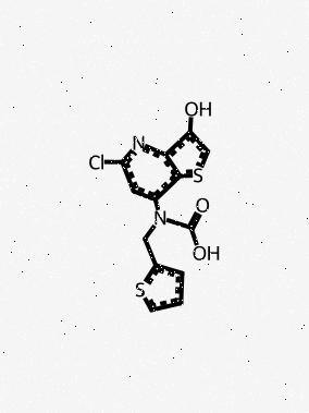 O=C(O)N(Cc1cccs1)c1cc(Cl)nc2c(O)csc12